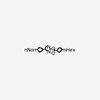 CCCCCCCCCc1ccc(-c2cnc(OC(=O)c3ccc(CCCCCC)cc3)nc2)cc1